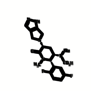 CN1C(=O)[C@H](N2Cc3cn[nH]c3C2)C[C@H](N(C(=O)O)C(C)(C)C)[C@@H]1c1cc(F)ccc1F